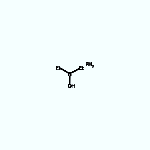 CCN(O)CC.P